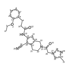 CCOc1ccccc1CCC(=O)Nc1sc2c(c1C#N)CCN(C(=O)Cn1cnc(C)c1)C2